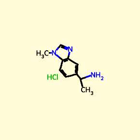 CC(N)c1ccc2c(c1)ncn2C.Cl